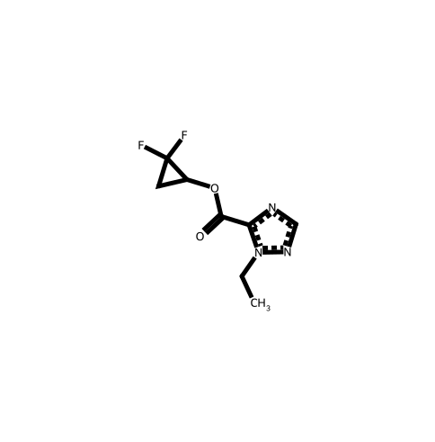 CCn1ncnc1C(=O)OC1CC1(F)F